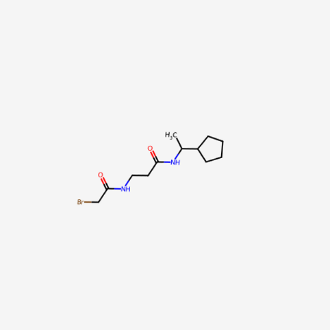 CC(NC(=O)CCNC(=O)CBr)C1CCCC1